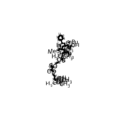 CCCCOC(=O)C(C)(CC(CC)c1ccccc1)CC(C)(CC(C)(CC(C)(C)C(=O)OCCOC(=O)C(=O)OCCC[Si](C)(C)O[Si](C)(C)C)C(=O)OCCO)C(=O)OC